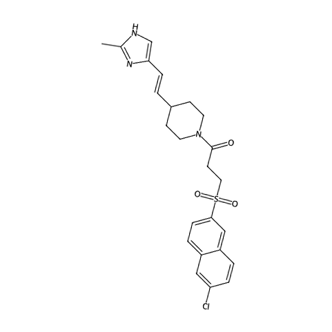 Cc1nc(C=CC2CCN(C(=O)CCS(=O)(=O)c3ccc4cc(Cl)ccc4c3)CC2)c[nH]1